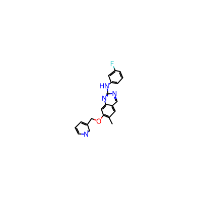 Cc1cc2cnc(Nc3cccc(F)c3)nc2cc1OCc1cccnc1